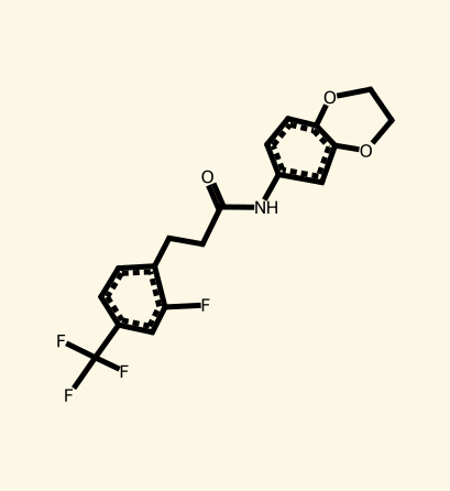 O=C(CCc1ccc(C(F)(F)F)cc1F)Nc1ccc2c(c1)OCCO2